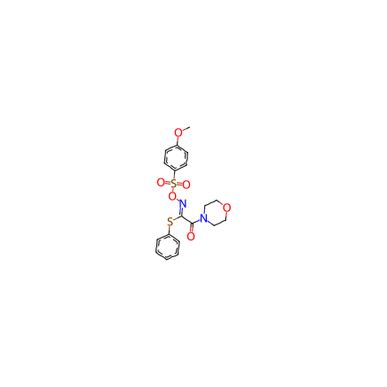 COc1ccc(S(=O)(=O)O/N=C(\Sc2ccccc2)C(=O)N2CCOCC2)cc1